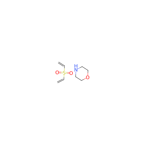 C1COCCN1.C=CS(=O)(=O)C=C